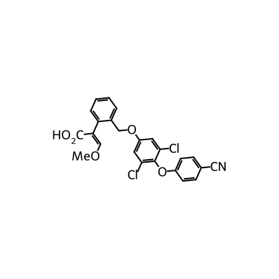 COC=C(C(=O)O)c1ccccc1COc1cc(Cl)c(Oc2ccc(C#N)cc2)c(Cl)c1